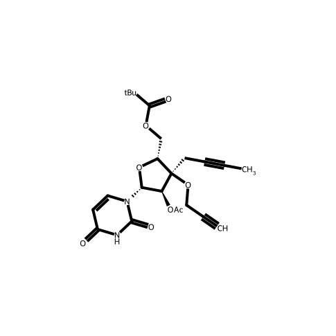 C#CCO[C@]1(CC#CC)[C@@H](COC(=O)C(C)(C)C)O[C@@H](n2ccc(=O)[nH]c2=O)[C@@H]1OC(C)=O